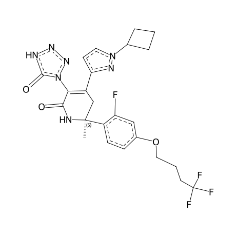 C[C@@]1(c2ccc(OCCCC(F)(F)F)cc2F)CC(c2ccn(C3CCC3)n2)=C(n2nn[nH]c2=O)C(=O)N1